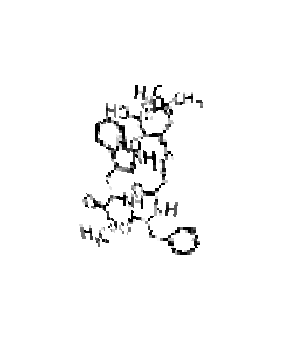 COC(=O)[C@H](Cc1c[nH]c2ccccc12)NC(=O)[C@H](Cc1ccccc1)NC(=O)CO/N=C(/CC(C)(C)C)[C@@H](O)[C@@H](C)O